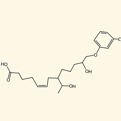 CC(O)C(C/C=C\CCCC(=O)O)CCCC(O)COc1cccc(Cl)c1